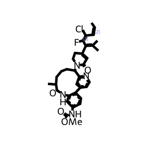 C/C=C\C(Cl)=C(\F)C(C1=CC(=O)N(C2CCCC(C)C(=O)Nc3cc(NC(=O)OC)ccc3-c3ccnc2c3)CC1)=C(C)C